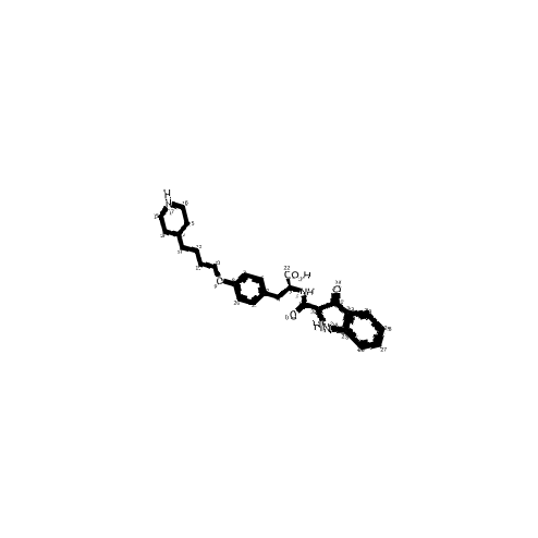 O=C(N[C@@H](Cc1ccc(OCCCCC2CCNCC2)cc1)C(=O)O)C1Nc2ccccc2C1=O